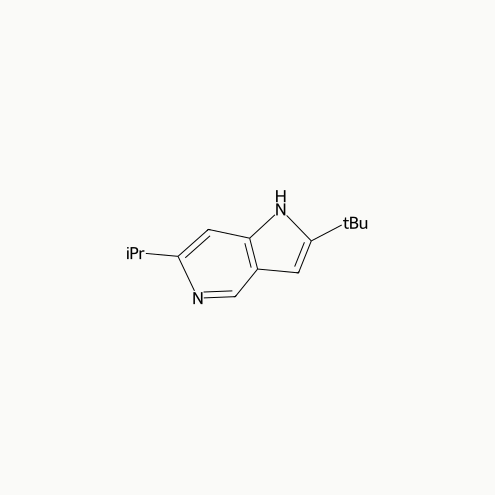 CC(C)c1cc2[nH]c(C(C)(C)C)cc2cn1